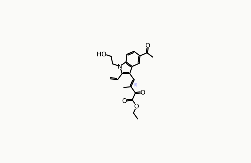 C=Cc1c(/C=C(\C)C(=O)C(=O)OCC)c2cc(C(C)=O)ccc2n1CCO